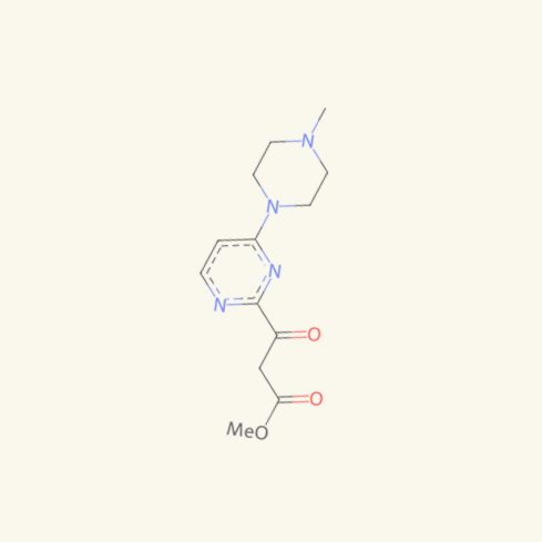 COC(=O)CC(=O)c1nccc(N2CCN(C)CC2)n1